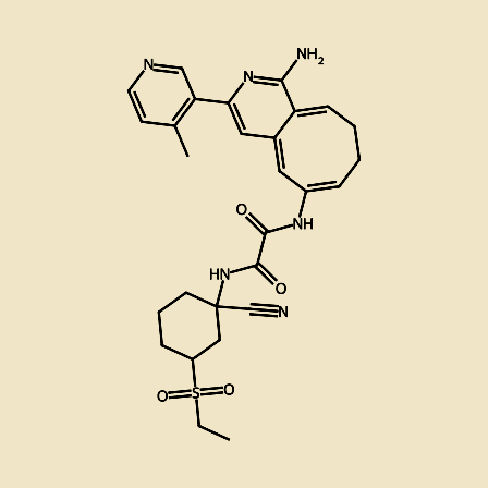 CCS(=O)(=O)C1CCCC(C#N)(NC(=O)C(=O)NC2=C\CC/C=c3/c(N)nc(-c4cnccc4C)c/c3=C/2)C1